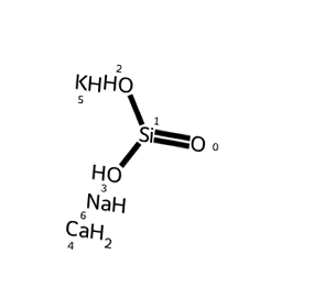 O=[Si](O)O.[CaH2].[KH].[NaH]